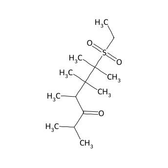 CCS(=O)(=O)C(C)(C)C(C)(C)C(C)C(=O)C(C)C